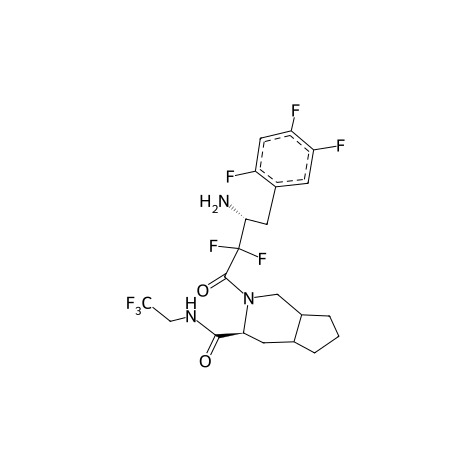 N[C@H](Cc1cc(F)c(F)cc1F)C(F)(F)C(=O)N1CC2CCCC2C[C@H]1C(=O)NCC(F)(F)F